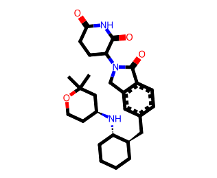 CC1(C)C[C@@H](N[C@H]2CCCC[C@@H]2Cc2ccc3c(c2)CN(C2CCC(=O)NC2=O)C3=O)CCO1